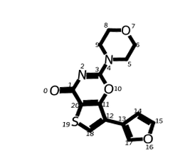 O=c1nc(N2CCOCC2)oc2c(-c3ccoc3)csc12